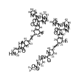 CC(C)(C)OC(=O)N1CCC(NC(=O)c2ccc(C#Cc3cc(F)c4c(c3)C(=O)N(C(C(=O)Nc3nccs3)c3ncn5c3CCC5)C4)cn2)CC1.O=C(NC1CCNCC1)c1ccc(C#Cc2cc(F)c3c(c2)C(=O)N([C@@H](C(=O)Nc2nccs2)c2ncn4c2CCC4)C3)cn1